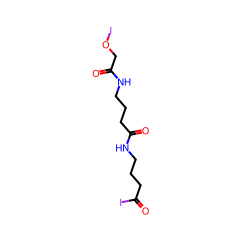 O=C(I)CCCNC(=O)CCCNC(=O)COI